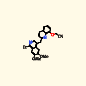 CCc1ncc(Cc2ccc3cccc(OCC#N)c3n2)c2cc(OC)c(OC)cc12